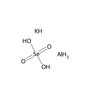 O=[Se](=O)(O)O.[AlH3].[KH]